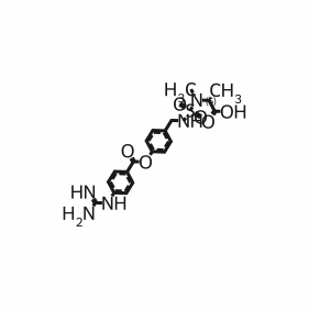 C[C@@H](C(=O)O)N(C)S(=O)(=O)NCc1ccc(OC(=O)c2ccc(NC(=N)N)cc2)cc1